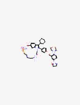 O=C1Cn2c(-c3ccc(OCc4cc(N5CCCC5=O)ccc4N4CCOCC4)cc3)c(C3CCCCC3)c3ccc(cc32)C(=O)NS(=O)(=O)C/C=C/CCN1